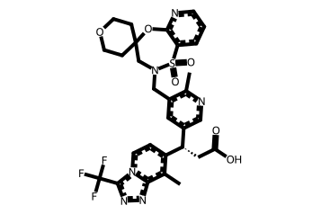 Cc1ncc([C@H](CC(=O)O)c2ccn3c(C(F)(F)F)nnc3c2C)cc1CN1CC2(CCOCC2)Oc2ncccc2S1(=O)=O